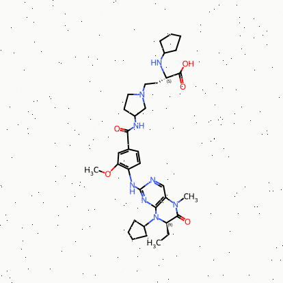 CC[C@@H]1C(=O)N(C)c2cnc(Nc3ccc(C(=O)NC4CCN(CC[C@H](NC5CCCC5)C(=O)O)C4)cc3OC)nc2N1C1CCCC1